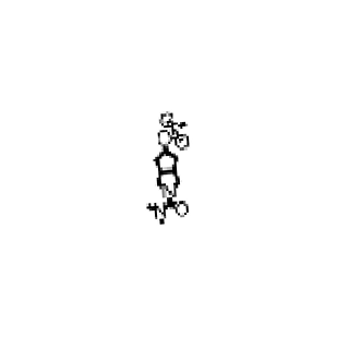 CN(C)C(=O)N1CC2CC(OS(C)(=O)=O)CC2C1